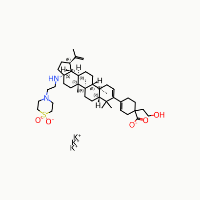 C=C(C)[C@@H]1CC[C@]2(NCCN3CCS([O-])([O-])CC3)CC[C@]3(C)[C@H](CC[C@@H]4[C@@]5(C)CC=C(C6=CCC(CCO)(C(=O)[O-])CC6)C(C)(C)[C@@H]5CC[C@]43C)[C@@H]12.[K+].[K+].[K+]